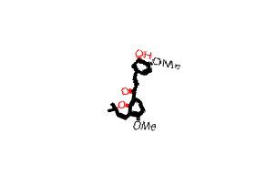 COc1ccc(/C=C/C(=O)c2ccc(OC)c3c2OC(C)(C)C=C3)cc1O